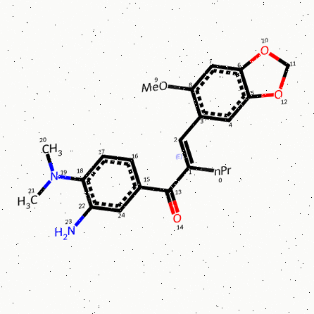 CCC/C(=C\c1cc2c(cc1OC)OCO2)C(=O)c1ccc(N(C)C)c(N)c1